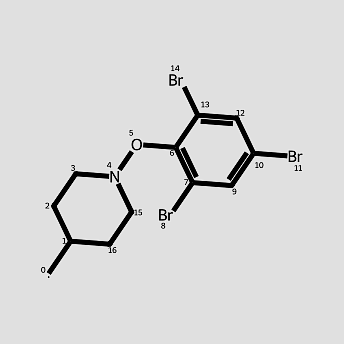 [CH2]C1CCN(Oc2c(Br)cc(Br)cc2Br)CC1